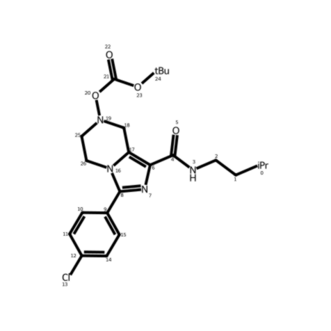 CC(C)CCNC(=O)c1nc(-c2ccc(Cl)cc2)n2c1CN(OC(=O)OC(C)(C)C)CC2